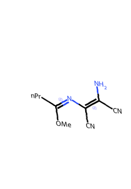 CCC/C(=N/C(C#N)=C(\N)C#N)OC